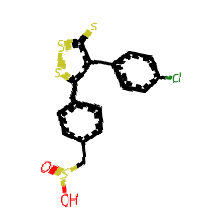 O=S(O)Cc1ccc(-c2ssc(=S)c2-c2ccc(Cl)cc2)cc1